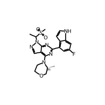 CC(n1ncc2c(N3CCOC[C@H]3C)nc(-c3cc(F)cc4[nH]ccc34)nc21)S(C)(=O)=O